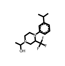 CC(C)c1cccc(N2CCN(C(C)O)CC2C(F)(F)F)c1